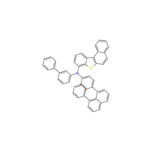 c1ccc(-c2cccc(N(c3ccc(-c4cccc5cccc(-c6ccccc6)c45)cc3)c3cccc4c3sc3ccc5ccccc5c34)c2)cc1